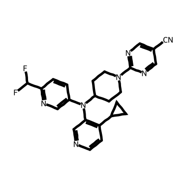 N#Cc1cnc(N2CCC(N(c3ccc(C(F)F)nc3)c3cnccc3C3CC3)CC2)nc1